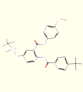 COc1ccc(NC(=O)c2cc(O[Si](C)(C)C(C)(C)C)ccc2NC(=O)c2ccc(C(C)(C)C)cc2)cc1